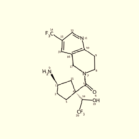 N[C@@H]1CC[C@@](C(=O)N2CCc3ncc(C(F)(F)F)cc3C2)(C(O)C(F)(F)F)C1